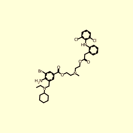 CCN(Cc1cc(C(=O)OCCN(C)CCOC(=O)Cc2ccccc2Nc2c(Cl)cccc2Cl)cc(Br)c1N)C1CCCCC1